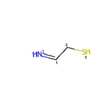 N=CCS